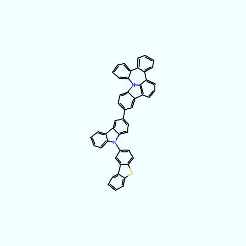 c1ccc2c(c1)-c1ccccc1-n1c3ccc(-c4ccc5c(c4)c4ccccc4n5-c4ccc5sc6ccccc6c5c4)cc3c3cccc-2c31